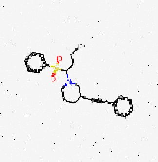 CC(C)CCC(N1CCCC(C#Cc2ccccc2)C1)S(=O)(=O)c1ccccc1